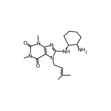 CC(C)=CCn1c(N[C@H]2CCCC[C@H]2N)nc2c1c(=O)n(C)c(=O)n2C